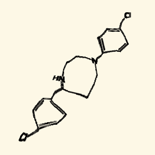 Clc1ccc(C2CCCN(c3ccc(Cl)cc3)CCN2)cc1